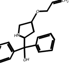 C=CCOC1CNC(C(O)(c2ccccc2)c2ccccc2)C1